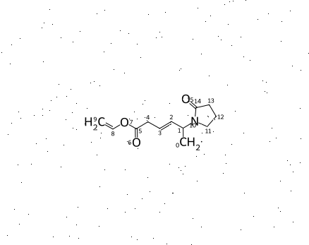 [CH2]C(C=CCC(=O)OC=C)N1CCCC1=O